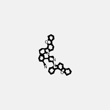 N#Cc1ccc#cc1-c1cc(-n2c3ccccc3c3c4oc5ccccc5c4ccc32)ncc1-n1c2c(c3c4oc5ccccc5c4ccc31)C=CCC2